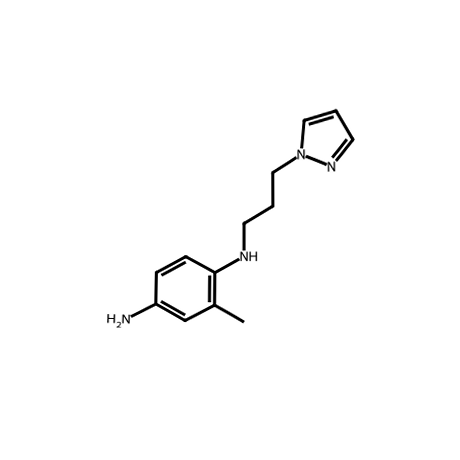 Cc1cc(N)ccc1NCCCn1cccn1